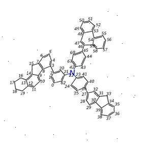 c1cc(-c2cccc3c2-c2ccc4c(c2C3)CCCC4)cc(N(c2ccc(-c3ccc4c(c3)Cc3ccccc3-4)cc2)c2ccc(-c3cc4ccccc4c4ccccc34)cc2)c1